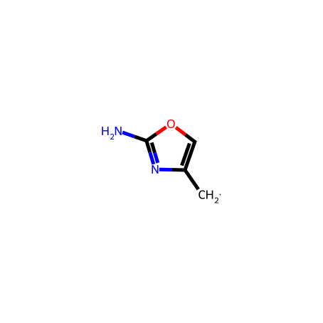 [CH2]c1coc(N)n1